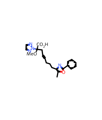 COC(CC#CCCCc1nc(-c2ccccc2)oc1C)(C(=O)O)n1nccn1